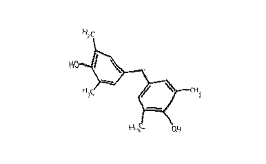 Cc1cc([CH]c2cc(C)c(O)c(C)c2)cc(C)c1O